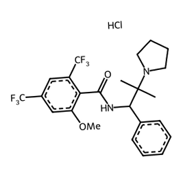 COc1cc(C(F)(F)F)cc(C(F)(F)F)c1C(=O)NC(c1ccccc1)C(C)(C)N1CCCC1.Cl